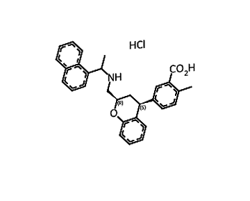 Cc1ccc([C@@H]2C[C@H](CNC(C)c3cccc4ccccc34)Oc3ccccc32)cc1C(=O)O.Cl